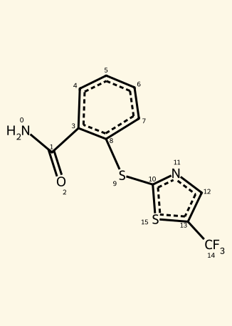 NC(=O)c1ccccc1Sc1ncc(C(F)(F)F)s1